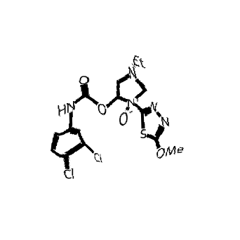 CCN1CC(OC(=O)Nc2ccc(Cl)c(Cl)c2)[N+]([O-])(c2nnc(OC)s2)C1